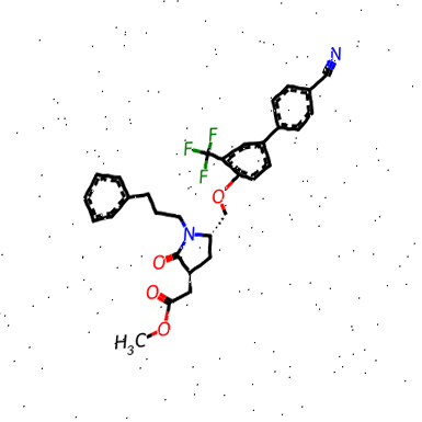 COC(=O)C[C@@H]1C[C@@H](COc2ccc(-c3ccc(C#N)cc3)cc2C(F)(F)F)N(CCCc2ccccc2)C1=O